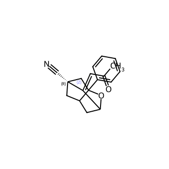 CC(=O)/C=C1\C2CC3C[C@@]1(C#N)CC3(c1ccccc1)O2